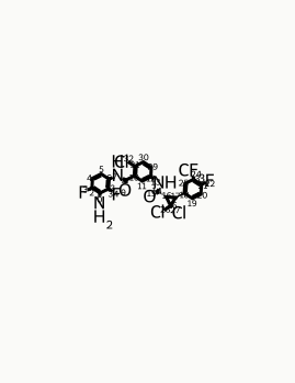 Nc1c(F)ccc(NC(=O)c2cc(NC(=O)[C@@H]3[C@@H](c4ccc(F)c(C(F)(F)F)c4)C3(Cl)Cl)ccc2Cl)c1F